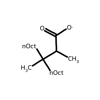 CCCCCCCCC(C)(CCCCCCCC)C(C)C([O])=O